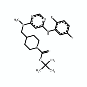 CN(CC1CCN(C(=O)OC(C)(C)C)CC1)c1cc(Nc2cc(F)ccc2F)ncn1